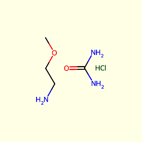 COCCN.Cl.NC(N)=O